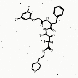 CC(C)C(NC(=O)C(Cc1ccccc1)NC(=O)COc1cc(Cl)cc(Cl)c1)C(=O)C(F)(F)C(=O)NCCN1CCOCC1